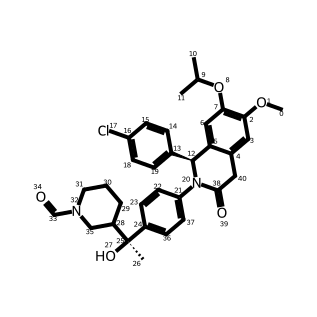 COc1cc2c(cc1OC(C)C)[C@H](c1ccc(Cl)cc1)N(c1ccc([C@@](C)(O)C3CCCN(C=O)C3)cc1)C(=O)C2